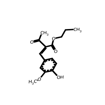 CCCOC(=O)C(=Cc1ccc(O)c(OC)c1)C(C)=O